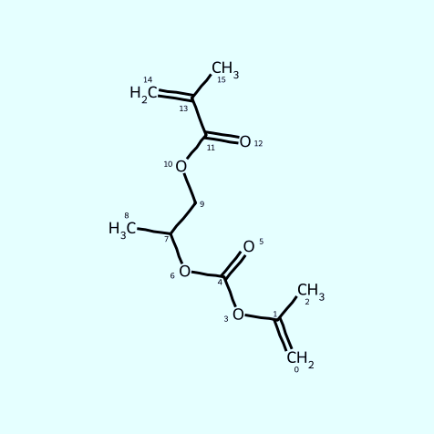 C=C(C)OC(=O)OC(C)COC(=O)C(=C)C